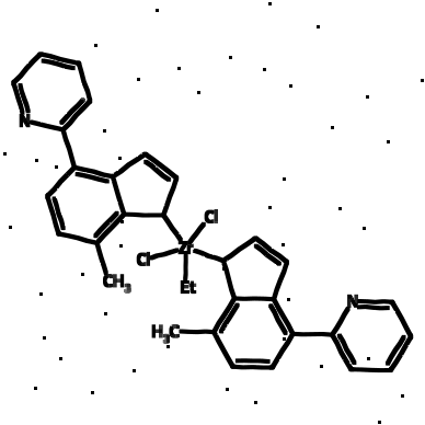 C[CH2][Zr]([Cl])([Cl])([CH]1C=Cc2c(-c3ccccn3)ccc(C)c21)[CH]1C=Cc2c(-c3ccccn3)ccc(C)c21